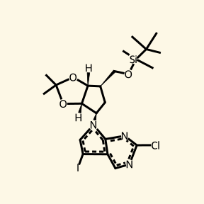 CC1(C)O[C@@H]2[C@@H](CO[Si](C)(C)C(C)(C)C)C[C@@H](n3cc(I)c4cnc(Cl)nc43)[C@@H]2O1